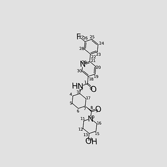 O=C(N[C@@H]1CCC[C@H](C(=O)N2CCC(O)CC2)C1)c1ccc(-c2cccc(F)c2)nc1